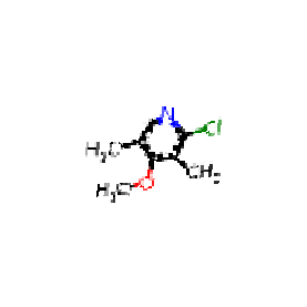 COc1c(C)[c]nc(Cl)c1C